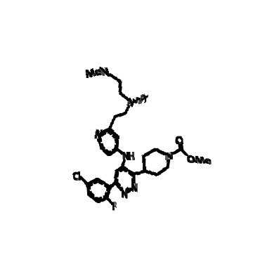 CCCN(CCNC)CCc1cc(Nc2cc(-c3cc(Cl)ccc3F)nnc2C2CCN(C(=O)OC)CC2)ccn1